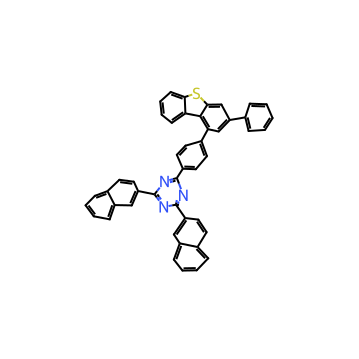 c1ccc(-c2cc(-c3ccc(-c4nc(-c5ccc6ccccc6c5)nc(-c5ccc6ccccc6c5)n4)cc3)c3c(c2)sc2ccccc23)cc1